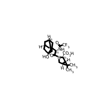 CC1(C)[C@@H]2[C@@H](C(=O)O)N(C(=O)[C@@H](NC(=O)C(F)(F)F)[C@@]34C[C@@H]5C[C@@H](C[C@](O)(C5)C3)C4)C[C@@H]21